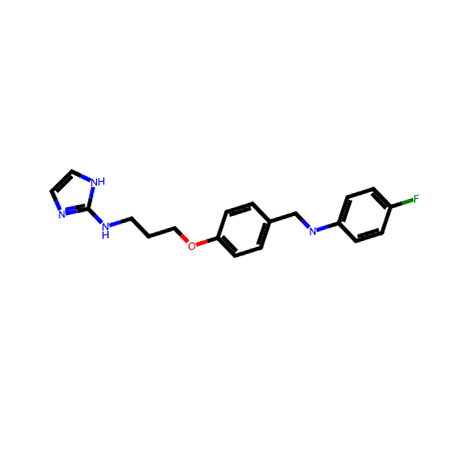 Fc1ccc([N]Cc2ccc(OCCCNc3ncc[nH]3)cc2)cc1